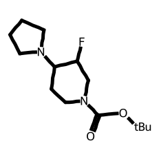 CC(C)(C)OC(=O)N1CCC(N2CCCC2)C(F)C1